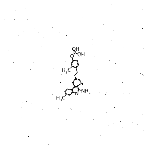 Cc1ccc2c(c1)nc(N)c1ncc(CCc3ccc(OP(O)O)cc3C)cc12